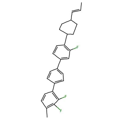 C/C=C/C1CCC(c2ccc(-c3ccc(-c4ccc(C)c(F)c4F)cc3)cc2F)CC1